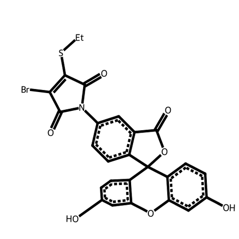 CCSC1=C(Br)C(=O)N(c2ccc3c(c2)C(=O)OC32c3ccc(O)cc3Oc3cc(O)ccc32)C1=O